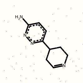 Nc1ccc(C2CC=NCC2)nn1